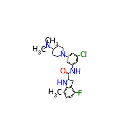 Cc1ccc(F)c2c1NC(C(=O)Nc1cc(Cl)cc(N3CCC(N(C)C)CC3)c1)C2